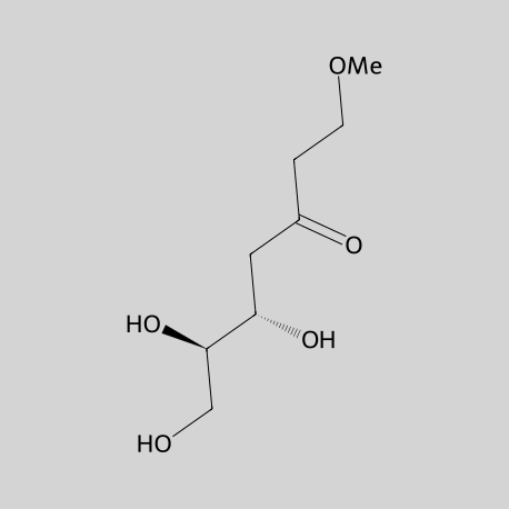 COCCC(=O)C[C@H](O)[C@H](O)CO